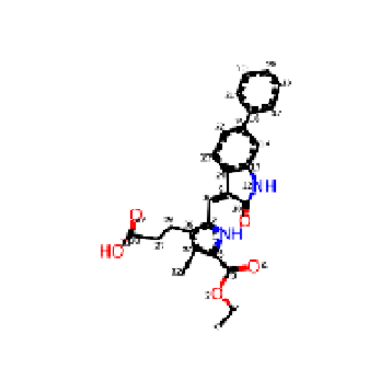 CCOC(=O)c1[nH]c(C=C2C(=O)Nc3cc(-c4ccccc4)ccc32)c(CCC(=O)O)c1C